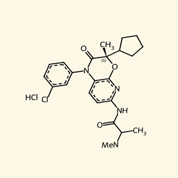 CNC(C)C(=O)Nc1ccc2c(n1)O[C@@](C)(C1CCCC1)C(=O)N2c1cccc(Cl)c1.Cl